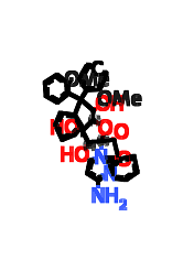 COc1ccccc1C(c1ccccc1)(c1ccccc1OC)C(O)[C@H]1O[C@@](C(=O)c2ccccc2)(n2ccc(N)nc2=O)[C@H](O)[C]1O